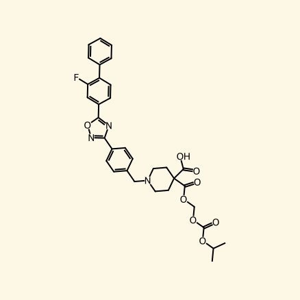 CC(C)OC(=O)OCOC(=O)C1(C(=O)O)CCN(Cc2ccc(-c3noc(-c4ccc(-c5ccccc5)c(F)c4)n3)cc2)CC1